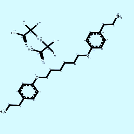 NCCc1ccc(OCCCCCCOc2ccc(CCN)cc2)cc1.O=C(O)C(F)(F)F.O=C(O)C(F)(F)F